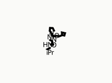 CC(C)CCNC(=O)c1cnc(N2CCCC2)c(OCC2CCC2)n1